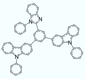 c1ccc(-n2c(-c3cc(-c4ccc5c(c4)c4ccccc4n5-c4ccccc4)cc(-c4ccc5c(c4)c4ccccc4n5-c4ccccc4)c3)nc3ccccc32)cc1